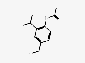 CC(=O)Nc1ccc(CO)cc1C(C)C